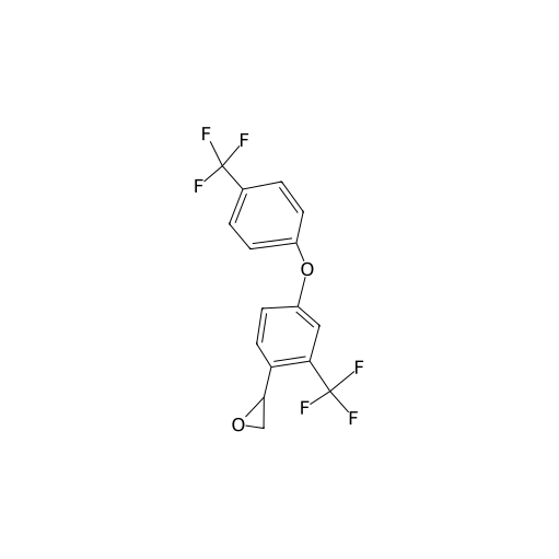 FC(F)(F)c1ccc(Oc2ccc(C3CO3)c(C(F)(F)F)c2)cc1